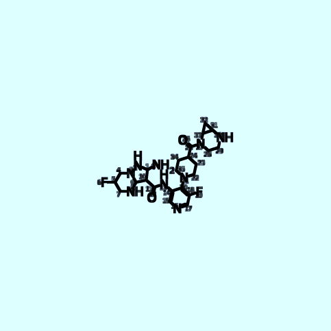 NC1NN2CC(F)CNC2C1C(=O)Nc1cncc(F)c1N1CCC(C(=O)N2CCNC3CC32)CC1